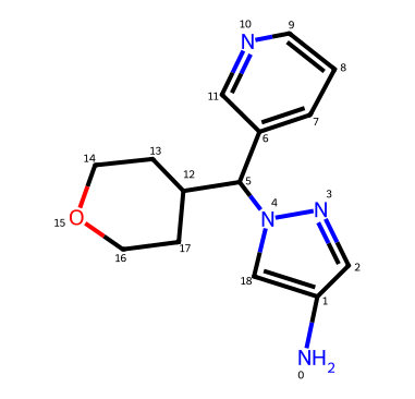 Nc1cnn(C(c2cccnc2)C2CCOCC2)c1